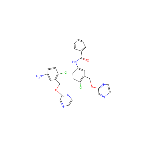 Nc1ccc(Cl)c(COc2cnccn2)c1.O=C(Nc1ccc(Cl)c(COc2cnccn2)c1)c1ccccc1